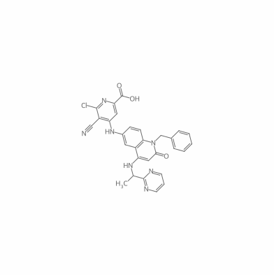 CC(Nc1cc(=O)n(Cc2ccccc2)c2ccc(Nc3cc(C(=O)O)nc(Cl)c3C#N)cc12)c1ncccn1